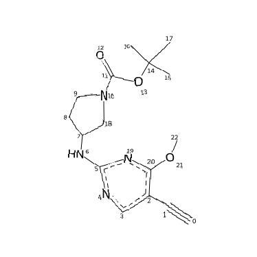 C#Cc1cnc(NC2CCN(C(=O)OC(C)(C)C)C2)nc1OC